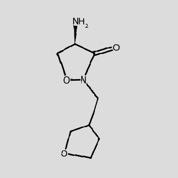 N[C@@H]1CON(CC2CCOC2)C1=O